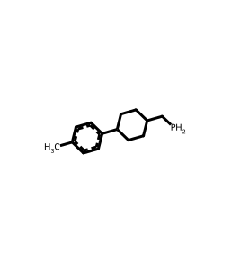 Cc1ccc(C2CCC(CP)CC2)cc1